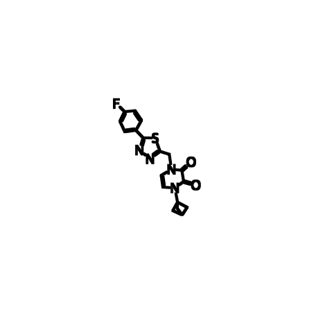 O=c1c(=O)n(C23CC(C2)C3)ccn1Cc1nnc(-c2ccc(F)cc2)s1